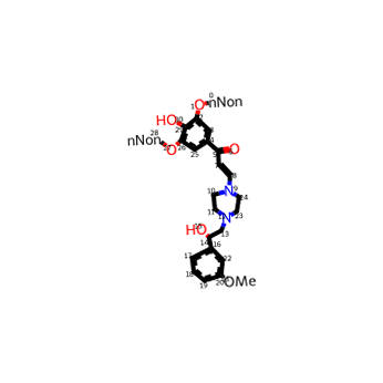 CCCCCCCCCOc1cc(C(=O)C=CN2CCN(CC(O)c3cccc(OC)c3)CC2)cc(OCCCCCCCCC)c1O